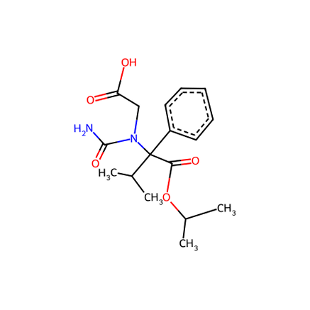 CC(C)OC(=O)C(c1ccccc1)(C(C)C)N(CC(=O)O)C(N)=O